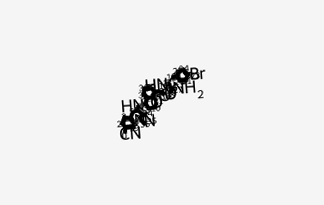 N#Cc1ccc(CC(NC2CCOc3c(C(=O)N[C@@H](Cc4ccc(Br)cc4)C(N)=O)cccc32)c2cnc[nH]2)cc1